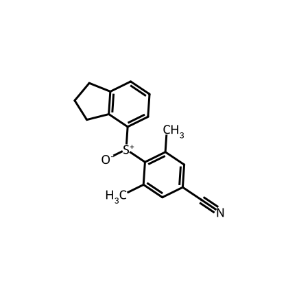 Cc1cc(C#N)cc(C)c1[S+]([O-])c1cccc2c1CCC2